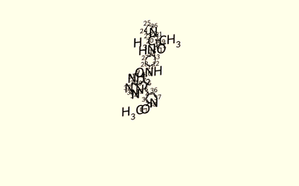 COc1cc(-c2cc(C(=O)NC3CCC(NC(=O)C(C)(C)CN4CCCC4)CC3)c3c(N)ncnn23)ccn1